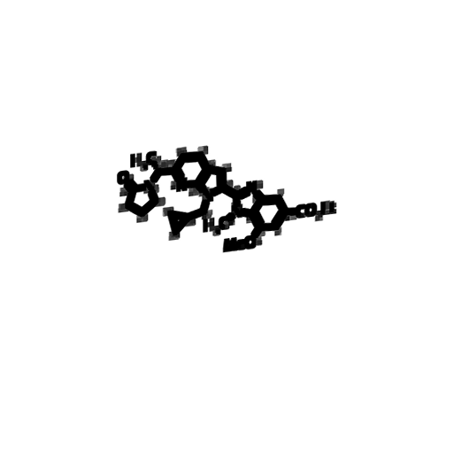 CCOC(=O)c1cc(OC)c2c(c1)nc(-c1cc3ccc([C@@H](C)N4CCCC4=O)nc3n1CC1CC1)n2C